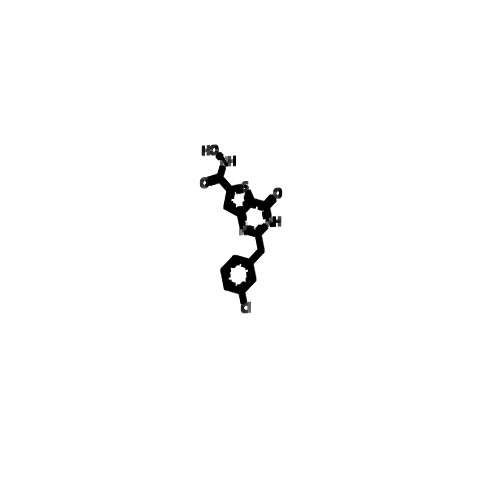 O=C(NO)c1cc2nc(Cc3cccc(Cl)c3)[nH]c(=O)c2s1